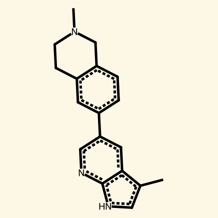 Cc1c[nH]c2ncc(-c3ccc4c(c3)CCN(C)C4)cc12